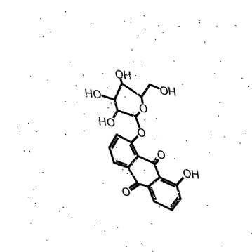 O=C1c2cccc(O)c2C(=O)c2c(OC3OC(CO)C(O)C(O)C3O)cccc21